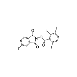 O=C(ON1C(=O)c2ccc(I)cc2C1=O)c1c(I)ccc(I)c1I